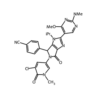 CNc1ncc(-c2nc3c(n2C(C)C)C(c2ccc(C#N)cc2)N(c2cc(Cl)c(=O)n(C)c2)C3=O)c(OC)n1